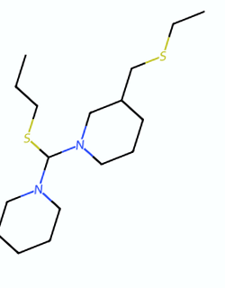 CCCSC(N1CCCCC1)N1CCCC(CSCC)C1